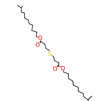 CC(C)CCCCCCCCCOC(=O)CCCSCCCC(=O)OCCCCCCCCCC(C)C